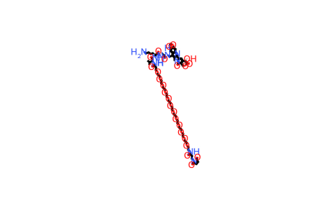 CC(C)[C@H](NC(=O)CCOCCOCCOCCOCCOCCOCCOCCOCCOCCOCCOCCOCCNC(=O)CCN1C(=O)C=CC1=O)C(=O)N[C@@H](CCCCN)C(=O)NCC(=O)NCc1c2c(nc3cc4c(cc13)OCO4)-c1cc3c(c(=O)n1C2)COC(=O)[C@H]3O